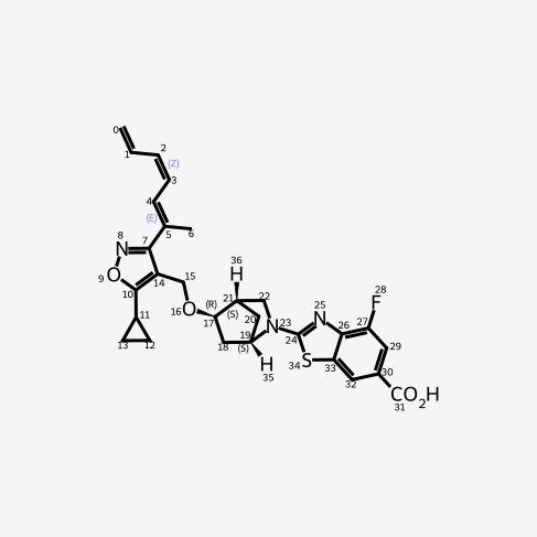 C=C/C=C\C=C(/C)c1noc(C2CC2)c1CO[C@@H]1C[C@@H]2C[C@H]1CN2c1nc2c(F)cc(C(=O)O)cc2s1